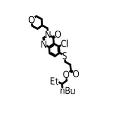 CCCCC(CC)COC(=O)CCSc1ccc2ncn(CC3CCOCC3)c(=O)c2c1Cl